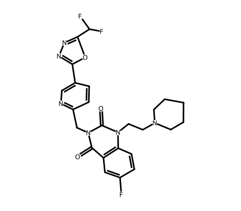 O=c1c2cc(F)ccc2n(CCN2CCCCC2)c(=O)n1Cc1ccc(-c2nnc(C(F)F)o2)cn1